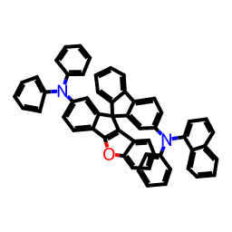 c1ccc(N(c2ccccc2)c2ccc3c(c2)C2(c4ccccc4-c4ccc(N(c5ccccc5)c5cccc6ccccc56)cc42)c2c-3oc3ccccc23)cc1